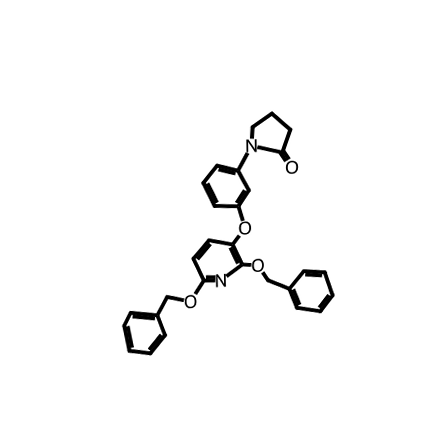 O=C1CCCN1c1cccc(Oc2ccc(OCc3ccccc3)nc2OCc2ccccc2)c1